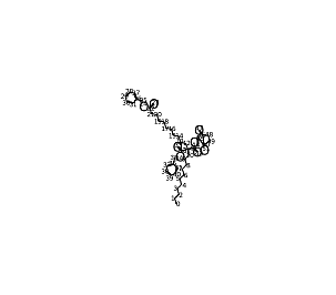 CCCCCCCCCCCC(CCCCCCCCCCC(=O)OCc1ccccc1)(C(=O)OCc1ccccc1)C(=O)ON1C(=O)CCC1=O